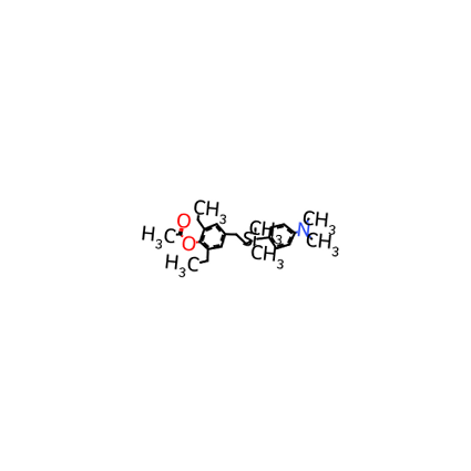 CCc1cc(CC[Si](C)(C)c2ccc(N(C)C)cc2)cc(CC)c1OC(C)=O